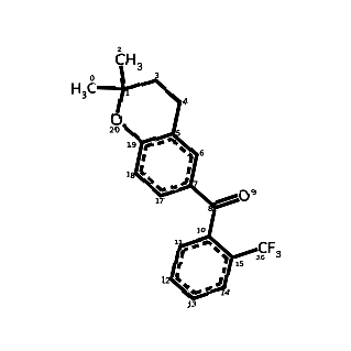 CC1(C)CCc2cc(C(=O)c3ccccc3C(F)(F)F)ccc2O1